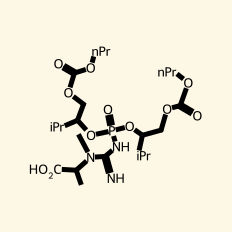 CCCOC(=O)OCC(OP(=O)(NC(=N)N(C)C(C)C(=O)O)OC(COC(=O)OCCC)C(C)C)C(C)C